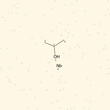 CC(C)O.[Nb]